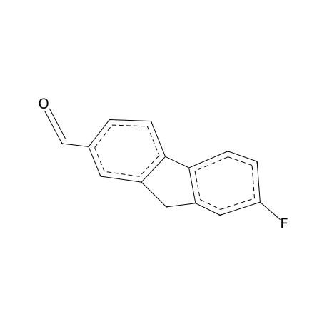 O=Cc1ccc2c(c1)Cc1cc(F)ccc1-2